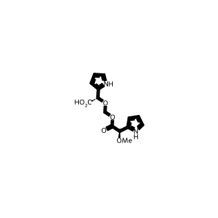 CO[C@@H](C(=O)OCO[C@H](C(=O)O)c1ccc[nH]1)c1ccc[nH]1